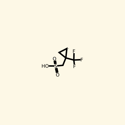 O=S(=O)(O)CC1(C(F)(F)F)[CH]C1